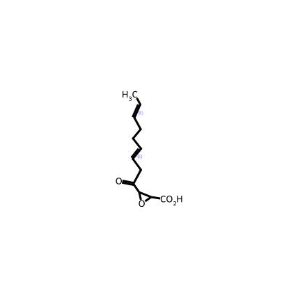 C/C=C/CC/C=C/CC(=O)C1OC1C(=O)O